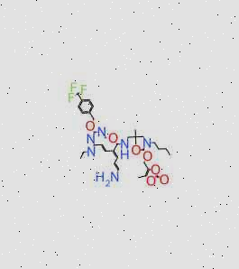 C=N\C(=N/C(/C=C/C(=C\C=C\N)C(=O)NCC(C)(C)CN(CCCC)C(=O)OCc1oc(=O)oc1C)=N\CC)OCc1ccc(C(F)(F)F)cc1